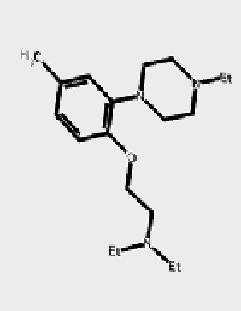 CCN(CC)CCOc1ccc(C)cc1N1CCN(CC)CC1